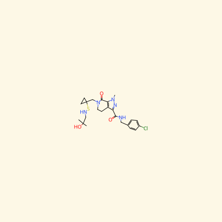 Cn1nc(C(=O)NCc2ccc(Cl)cc2)c2c1C(=O)N(CC1(SNCC(C)(C)O)CC1)CC2